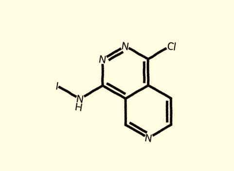 Clc1nnc(NI)c2cnccc12